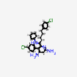 Nc1cc(N)c(-c2ccc(Cl)cc2)c(C(CCCCc2ccc(Cl)cc2)Nc2ccccc2)n1